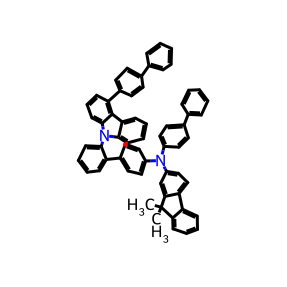 CC1(C)c2ccccc2-c2ccc(N(c3ccc(-c4ccccc4)cc3)c3ccc(-c4ccccc4-n4c5ccccc5c5c(-c6ccc(-c7ccccc7)cc6)cccc54)cc3)cc21